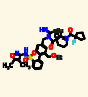 CCCCC(=N)N(Cc1ccc(-c2ccccc2S(=O)(=O)Nc2noc(C)c2C)c(COCC)c1)C(=O)C1(C)CCCN(C(=O)C2(F)CCCC2)C1